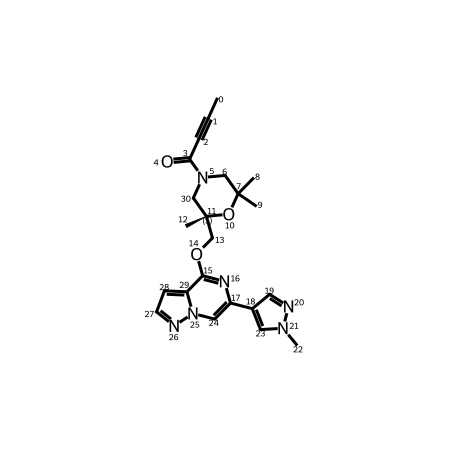 CC#CC(=O)N1CC(C)(C)O[C@](C)(COc2nc(-c3cnn(C)c3)cn3nccc23)C1